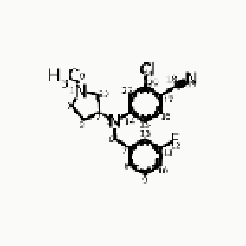 CN1CC[C@H](N(Cc2cccc(F)c2)c2ccc(C#N)c(Cl)c2)C1